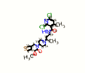 COCC(=O)N(Cc1ccsc1)C1CCN([C@H](C)CCNC(=O)c2c(C)cc(Cl)nc2Cl)CC1